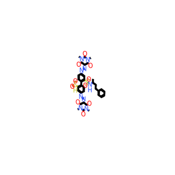 CC(CCc1ccccc1)NS(=O)(=O)c1cc(N=NC2C(=O)N(C)C(=O)N(C)C2=O)ccc1-c1ccc(N=NC2C(=O)N(C)C(=O)N(C)C2=O)cc1[SH](=O)=O